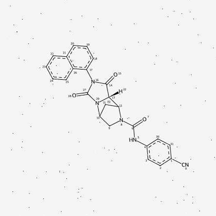 N#Cc1ccc(NC(=O)N2CC3CC2[C@H]2C(=O)N(c4cccc5ccccc45)C(=O)N32)cc1